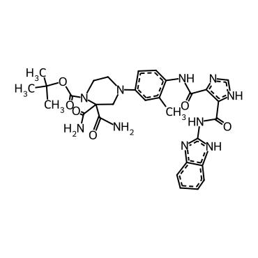 Cc1cc(N2CCN(C(=O)OC(C)(C)C)C(C(N)=O)(C(N)=O)C2)ccc1NC(=O)c1nc[nH]c1C(=O)Nc1nc2ccccc2[nH]1